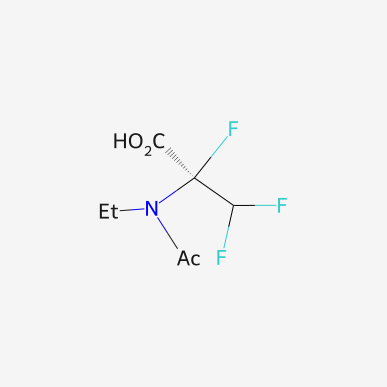 CCN(C(C)=O)[C@](F)(C(=O)O)C(F)F